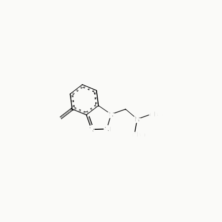 C=c1cccc2c1=NNN2CN(CCCC)CCCC